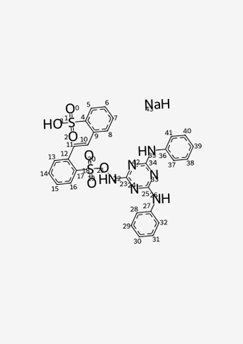 O=S(=O)(O)c1ccccc1C=Cc1ccccc1S(=O)(=O)ONc1nc(Nc2ccccc2)nc(Nc2ccccc2)n1.[NaH]